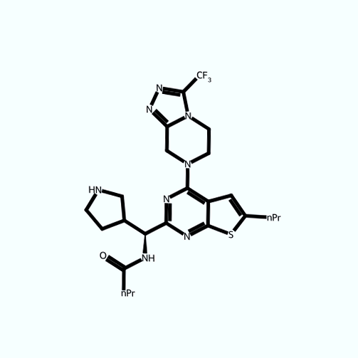 CCCC(=O)N[C@H](c1nc(N2CCn3c(nnc3C(F)(F)F)C2)c2cc(CCC)sc2n1)C1CCNC1